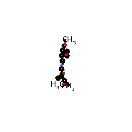 C/C=C/c1ccc(-c2ccc3c(c2)C(c2ccccc2)(c2ccccc2)c2cc(-c4ccc(/C=C/c5ccc(-c6ccc7c(c6)c6ccccc6n7-c6ccc7c(c6)C(C)(C)C6C=CC=CC76)cc5)cc4)ccc2-3)cc1